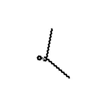 CCCCCCCCCCCCCCCCCCc1cc[n+](-c2ccccc2)cc1CCCCCCCCCCCCCCCCCC